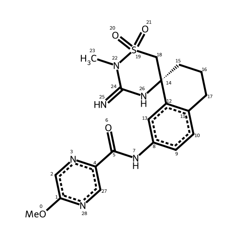 COc1cnc(C(=O)Nc2ccc3c(c2)[C@]2(CCC3)CS(=O)(=O)N(C)C(=N)N2)cn1